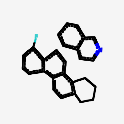 Fc1cccc2c1ccc1c3c(ccc12)CCCC3.c1ccc2cnccc2c1